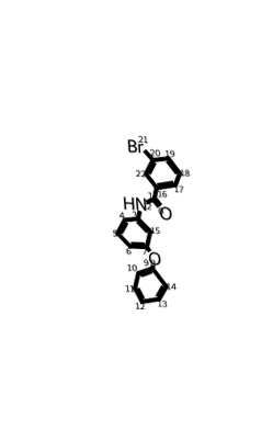 O=C(Nc1cccc(Oc2ccccc2)c1)c1cccc(Br)c1